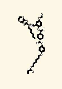 C=CC(=O)OCCCCCCOc1ccc(OC(=O)[C@H]2CC[C@H](C(=O)Oc3ccc(OC=O)cc3/C=N/N(CCCCCC)c3nc4nccnc4s3)CC2)cc1